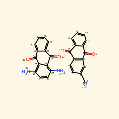 N#Cc1ccc2c(c1)C(=O)c1ccccc1C2=O.Nc1ccc(N)c2c1C(=O)c1ccccc1C2=O